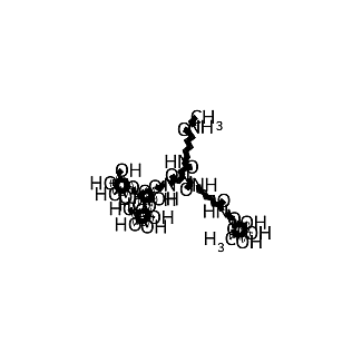 CCNC(=O)CCCCCNC(=O)CN(CC(=O)NCCCCCC(=O)NCCO[C@@H]1O[C@@H](C)[C@@H](O)[C@@H](O)[C@@H]1O)CC(=O)NCCO[C@H]1O[C@H](CO[C@H]2C[C@H](CO)[C@@H](O)[C@H](O)[C@@H]2O)[C@@H](O)[C@H](O[C@H]2O[C@H](CO)[C@@H](O)[C@H](O)[C@@H]2O)[C@@H]1O